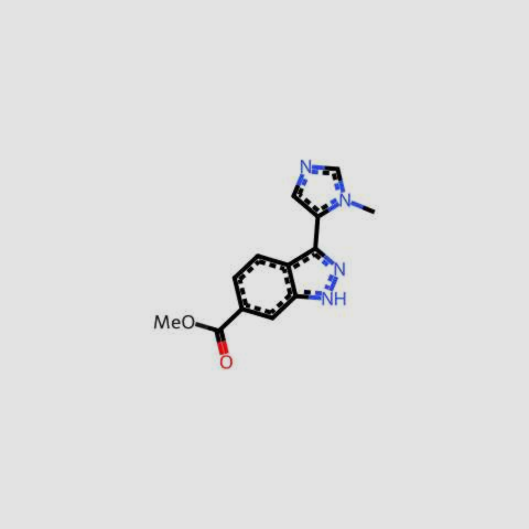 COC(=O)c1ccc2c(-c3cncn3C)n[nH]c2c1